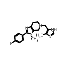 Cc1nc[nH]c1CN1CCc2nc(-c3ccc(F)cc3)n(C)c2C1